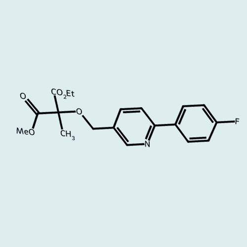 CCOC(=O)C(C)(OCc1ccc(-c2ccc(F)cc2)nc1)C(=O)OC